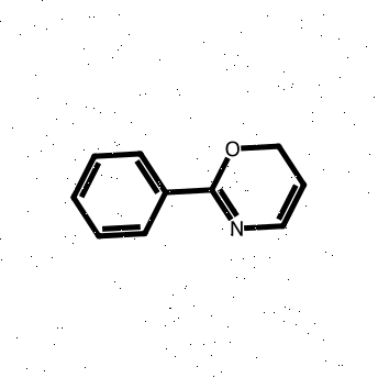 C1=CN=C(c2ccccc2)OC1